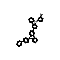 Brc1cccc(-n2c3ccccc3c3cc(-c4ccc5c(c4)c4ccccc4n5-c4ccc(-c5ccccc5)cc4)ccc32)c1